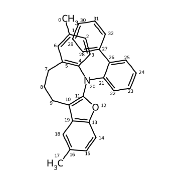 Cc1ccc2c(c1)CCCc1c(oc3ccc(C)cc13)N2c1ccccc1-c1ccccc1